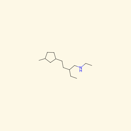 CCNCC(CC)CCC1CCC(C)C1